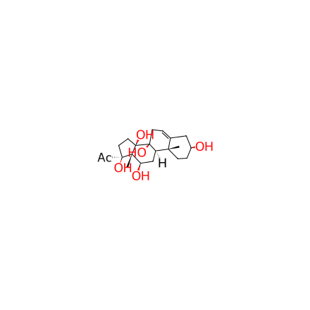 CC(=O)[C@]1(O)CC[C@@]2(O)[C@]1(C)[C@H](O)C[C@@H]1[C@@]3(C)CC[C@H](O)CC3=CC[C@]12O